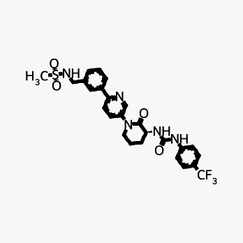 CS(=O)(=O)NCc1cccc(-c2ccc(N3CCC[C@@H](NC(=O)Nc4ccc(C(F)(F)F)cc4)C3=O)cn2)c1